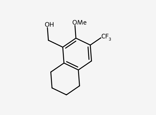 COc1c(C(F)(F)F)cc2c(c1CO)CCCC2